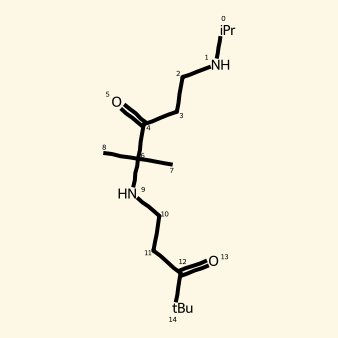 CC(C)NCCC(=O)C(C)(C)NCCC(=O)C(C)(C)C